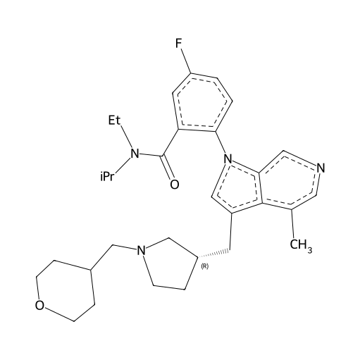 CCN(C(=O)c1cc(F)ccc1-n1cc(C[C@@H]2CCN(CC3CCOCC3)C2)c2c(C)cncc21)C(C)C